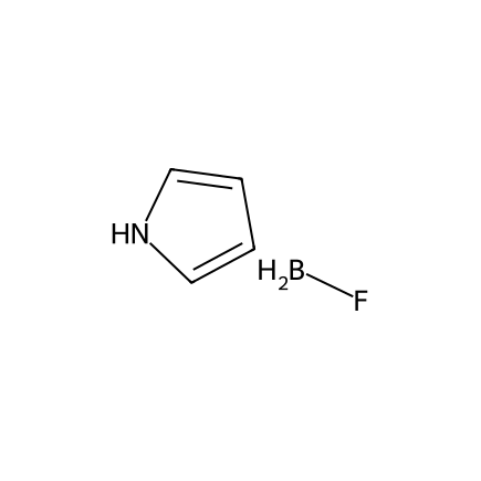 BF.c1cc[nH]c1